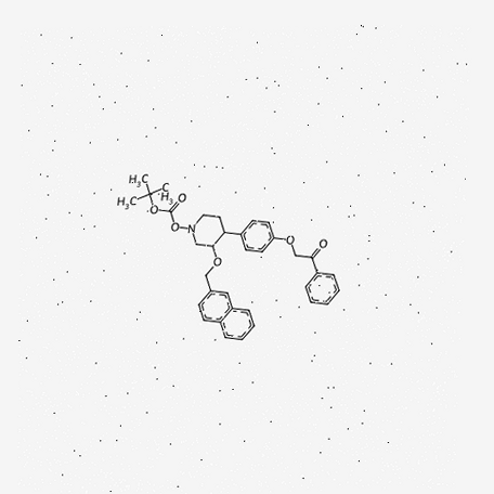 CC(C)(C)OC(=O)ON1CCC(c2ccc(OCC(=O)c3ccccc3)cc2)C(OCc2ccc3ccccc3c2)C1